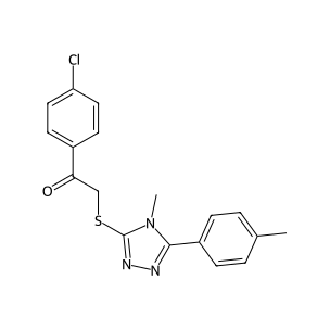 Cc1ccc(-c2nnc(SCC(=O)c3ccc(Cl)cc3)n2C)cc1